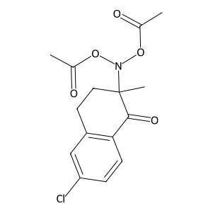 CC(=O)ON(OC(C)=O)C1(C)CCc2cc(Cl)ccc2C1=O